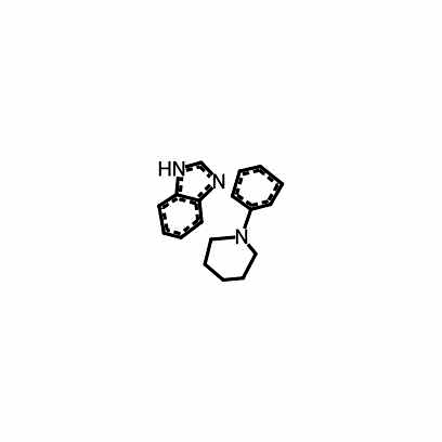 c1ccc(N2CCCCC2)cc1.c1ccc2[nH]cnc2c1